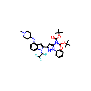 CN1CCC(Nc2cccc3c2cc(-c2cc(N(C(=O)OC(C)(C)C)C(=O)OC(C)(C)C)n(-c4ccccc4)n2)n3C(F)C(F)F)CC1